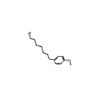 COc1ccc(CCCCCCCBr)cc1